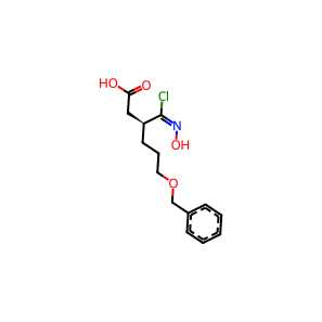 O=C(O)C[C@H](CCCOCc1ccccc1)/C(Cl)=N\O